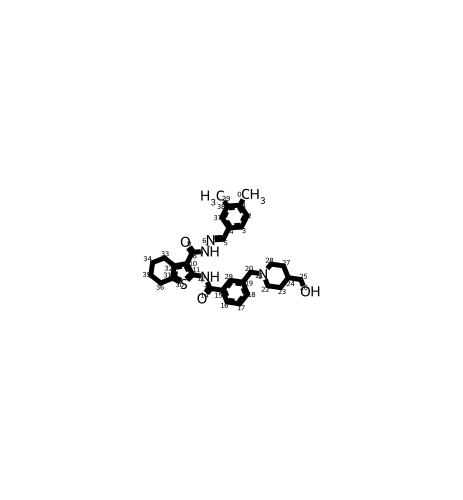 Cc1ccc(C=NNC(=O)c2c(NC(=O)c3cccc(CN4CCC(CO)CC4)c3)sc3c2CCCC3)cc1C